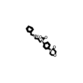 O=C1COCCN1c1ccc(N2CC(CNCc3ccccc3)OC2=O)cc1